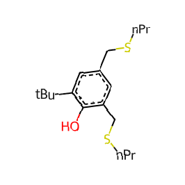 CCCSCc1cc(CSCCC)c(O)c(C(C)(C)C)c1